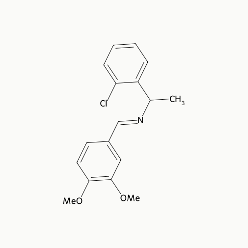 COc1ccc(C=NC(C)c2ccccc2Cl)cc1OC